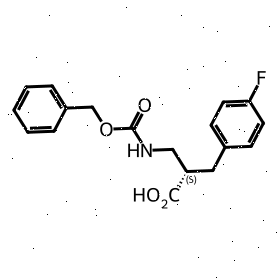 O=C(NC[C@H](Cc1ccc(F)cc1)C(=O)O)OCc1ccccc1